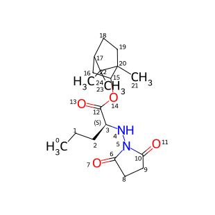 CCC[C@H](NN1C(=O)CCC1=O)C(=O)OC1CC2CCC1(C)C2(C)C